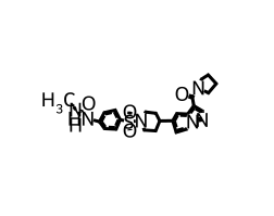 CNC(=O)Nc1ccc(S(=O)(=O)N2CCC(c3ccn4ncc(C(=O)N5CCCC5)c4c3)CC2)cc1